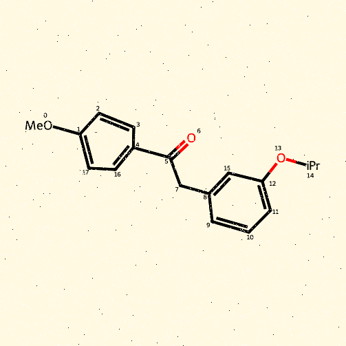 COc1ccc(C(=O)Cc2cccc(OC(C)C)c2)cc1